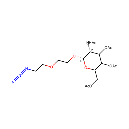 CC(=O)N[C@@H]1C(OC(C)=O)C(OC(C)=O)C(COC(C)=O)O[C@@H]1OCCOCCN=[N+]=[N-]